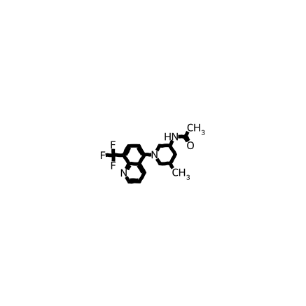 CC(=O)NC1CC(C)CN(c2ccc(C(F)(F)F)c3ncccc23)C1